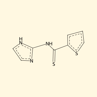 S=C(Nc1ncc[nH]1)c1cccs1